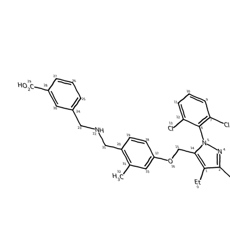 CCc1c(C)nn(-c2c(Cl)cccc2Cl)c1COc1ccc(CNCc2cccc(C(=O)O)c2)c(C)c1